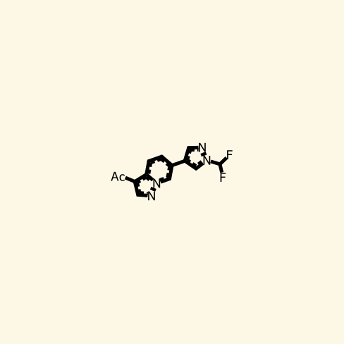 CC(=O)c1cnn2cc(-c3cnn(C(F)F)c3)ccc12